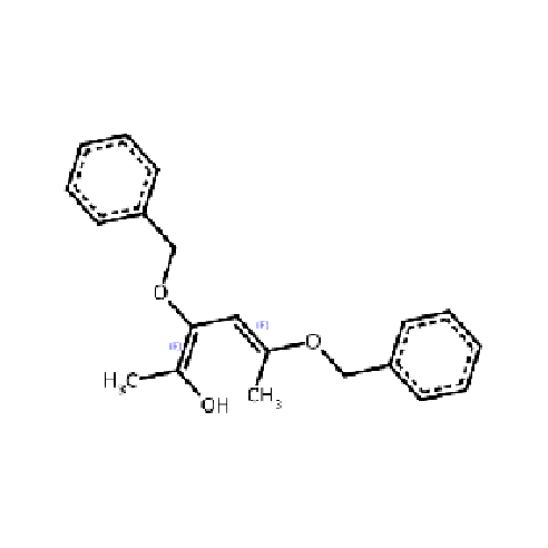 C/C(=C\C(OCc1ccccc1)=C(\C)O)OCc1ccccc1